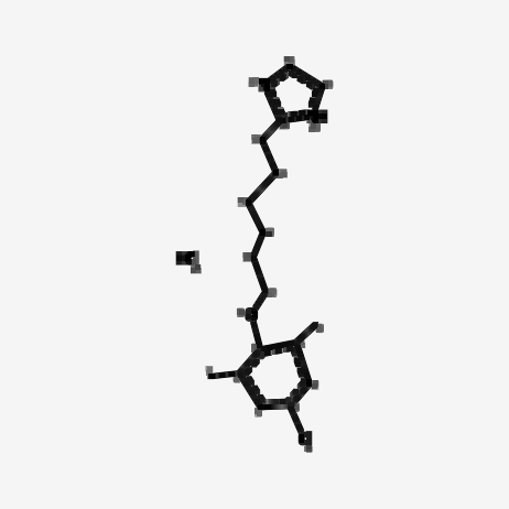 Cc1cc(Cl)cc(C)c1OCCCCCCc1ncc[nH]1.Cl